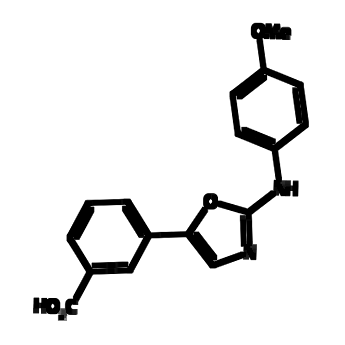 COc1ccc(Nc2ncc(-c3cccc(C(=O)O)c3)o2)cc1